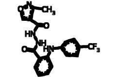 Cc1nocc1C(=O)NNC(=O)c1ccccc1Nc1ccc(C(F)(F)F)cc1